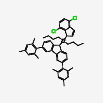 CCC[CH2][Zr]([CH2]CCC)([CH]1C=Cc2c(Cl)ccc(Cl)c21)[CH]1c2ccc(-c3c(C)cc(C)cc3C)cc2-c2cc(-c3c(C)cc(C)cc3C)ccc21